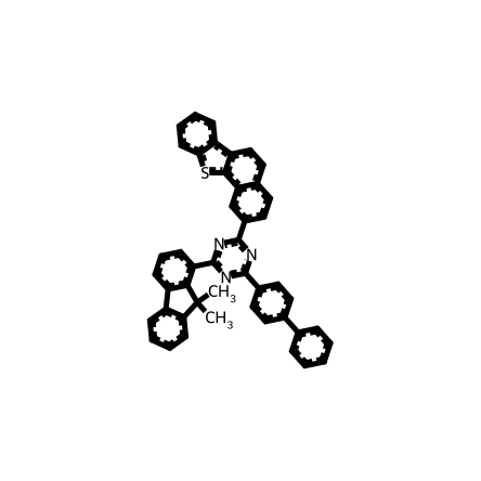 CC1(C)c2ccccc2-c2cccc(-c3nc(-c4ccc(-c5ccccc5)cc4)nc(-c4ccc5ccc6c7ccccc7sc6c5c4)n3)c21